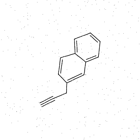 C#CCc1[c]c2ccccc2cc1